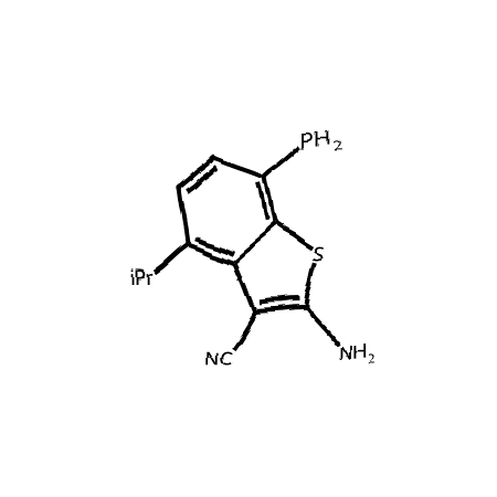 CC(C)c1ccc(P)c2sc(N)c(C#N)c12